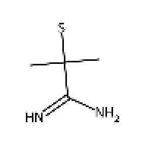 CC(C)([S])C(=N)N